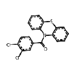 O=C(c1ccc(Cl)c(Cl)c1)N1c2ccccc2Sc2ccccc21